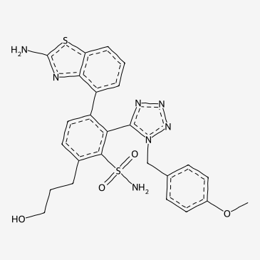 COc1ccc(Cn2nnnc2-c2c(-c3cccc4sc(N)nc34)ccc(CCCO)c2S(N)(=O)=O)cc1